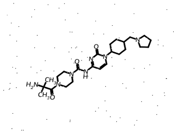 CC(C)(N)C(=O)N1CCN(C(=O)Nc2ccn(C3CCC(CN4CCCC4)CC3)c(=O)n2)CC1